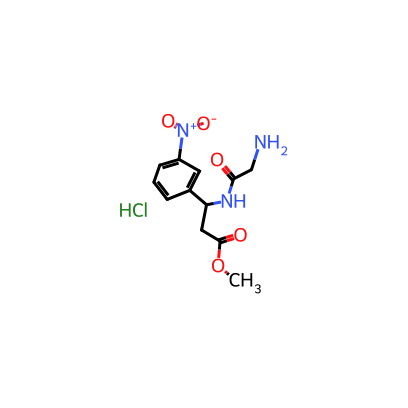 COC(=O)CC(NC(=O)CN)c1cccc([N+](=O)[O-])c1.Cl